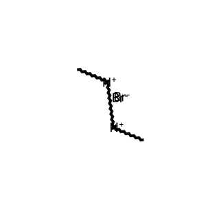 CCCCCCCCCCCC[N+](C)(C)CCCCCCCCCCCCCCCC[N+](C)(C)CCCCCCCCCCCC.[Br-].[Br-]